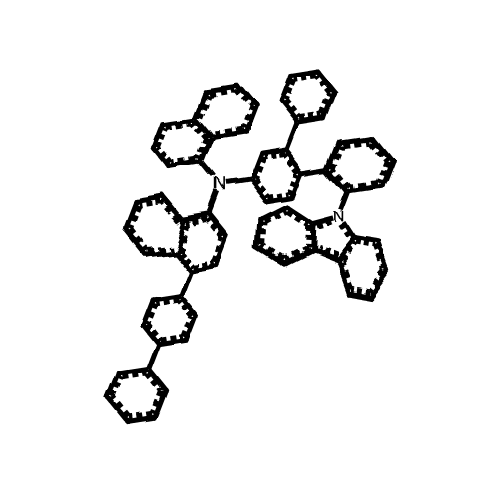 c1ccc(-c2ccc(-c3ccc(N(c4ccc(-c5ccccc5-n5c6ccccc6c6ccccc65)c(-c5ccccc5)c4)c4cccc5ccccc45)c4ccccc34)cc2)cc1